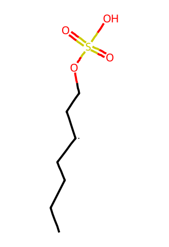 CCCC[CH]CCOS(=O)(=O)O